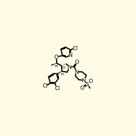 C[C@@H](Oc1ccc(Cl)nc1)[C@@H]1CN(C(=O)N2CCN(S(C)(=O)=O)CC2)C[C@H]1c1ccc(Cl)c(Cl)c1